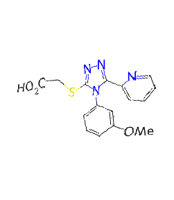 COc1cccc(-n2c(SCC(=O)O)nnc2-c2ccccn2)c1